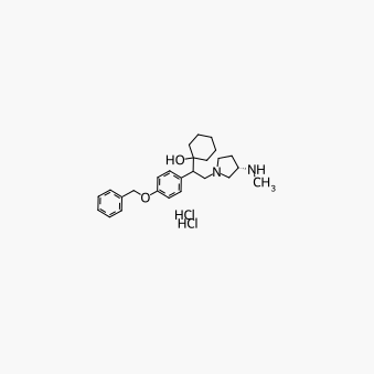 CN[C@H]1CCN(CC(c2ccc(OCc3ccccc3)cc2)C2(O)CCCCC2)C1.Cl.Cl